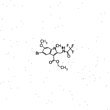 CCOC(=O)c1c(CNC(=O)C(F)(F)F)n(C)c2cc(OC)c(Br)cc12